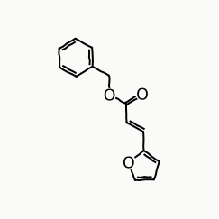 O=C(/C=C/c1ccco1)OCc1ccccc1